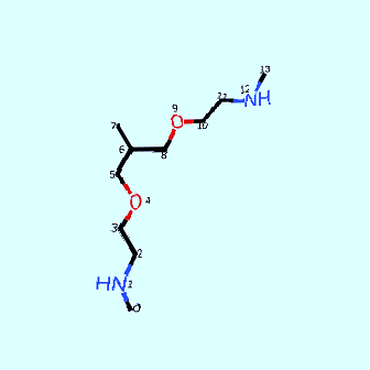 CNCCOCC(C)COCCNC